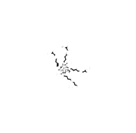 CCC(O)COCCCC[SiH](C)O[Si](O[Si](C)(C)CCCCOCC(O)CC)(O[Si](C)(C)CCCCOCC(O)CC)O[Si](C)(C)CCCCOCC(O)CC